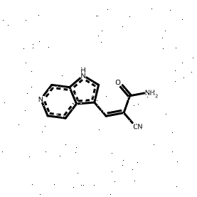 N#C/C(=C/c1c[nH]c2cnccc12)C(N)=O